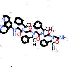 C[C@@H](c1ccccc1)N(CC(N)=O)C(=O)CN(C(=O)CN(C(=O)CN(C(=O)CNc1cc2cccnc2c2ncccc12)[C@@H](C)c1ccccc1)[C@@H](C)c1ccccc1)[C@@H](C)c1ccccc1